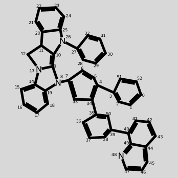 c1ccc(-c2ccc(N3C4=C5C(CN4c4ccccc43)c3ccccc3N5c3ccccc3)cc2-c2cccc(-c3cccc4cccnc34)c2)cc1